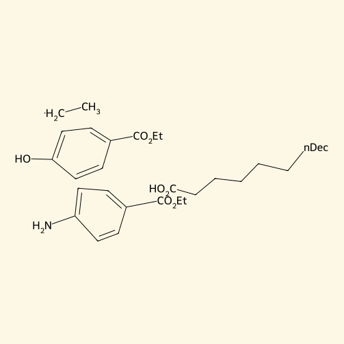 CCCCCCCCCCCCCCCC(=O)O.CCOC(=O)c1ccc(N)cc1.CCOC(=O)c1ccc(O)cc1.[CH2]C